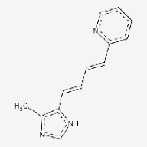 Cc1nc[nH]c1C=CC=Cc1ccccn1